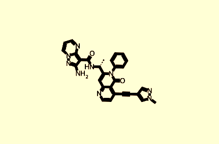 C[C@@H](NC(=O)c1c(N)nn2cccnc12)c1cc2nccc(C#Cc3cnn(C)c3)c2c(=O)n1-c1ccccc1